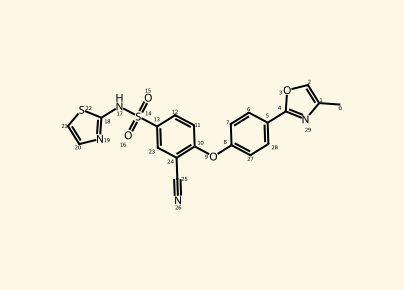 Cc1coc(-c2ccc(Oc3ccc(S(=O)(=O)Nc4nccs4)cc3C#N)cc2)n1